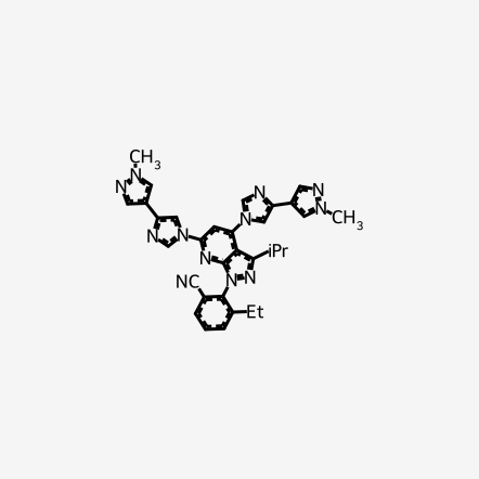 CCc1cccc(C#N)c1-n1nc(C(C)C)c2c(-n3cnc(-c4cnn(C)c4)c3)cc(-n3cnc(-c4cnn(C)c4)c3)nc21